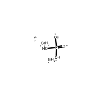 O=P(O)(O)O.[CaH2].[SrH2].[Y]